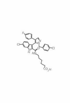 O=C(O)CCCCCNC(=O)c1[nH]c2cc(Cl)ccc2c1-c1c(-c2ccc(F)cc2)cnn1Cc1ccc(Cl)cc1